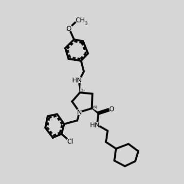 COc1ccc(CN[C@H]2C[C@@H](C(=O)NCCC3CCCCC3)N(Cc3ccccc3Cl)C2)cc1